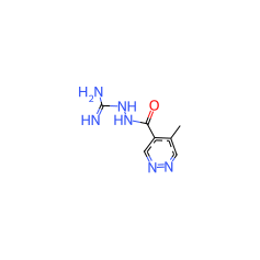 Cc1cnncc1C(=O)NNC(=N)N